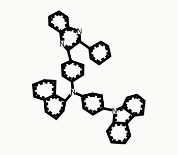 c1ccc(-c2nc3ccccc3nc2-c2ccc(N(c3ccc(-n4c5ccccc5c5ccccc54)cc3)c3cccc4ccccc34)cc2)cc1